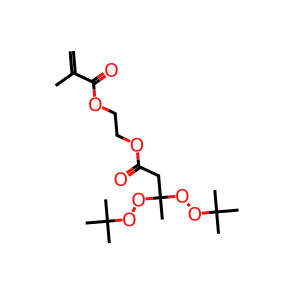 C=C(C)C(=O)OCCOC(=O)CC(C)(OOC(C)(C)C)OOC(C)(C)C